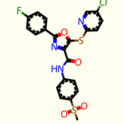 CS(=O)(=O)c1ccc(NC(=O)c2nc(-c3ccc(F)cc3)oc2Sc2ccc(Cl)cn2)cc1